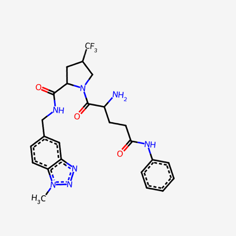 Cn1nnc2cc(CNC(=O)C3CC(C(F)(F)F)CN3C(=O)C(N)CCC(=O)Nc3ccccc3)ccc21